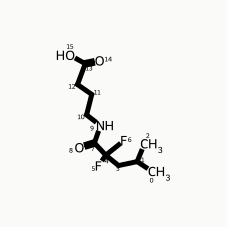 CC(C)CC(F)(F)C(=O)NCCCC(=O)O